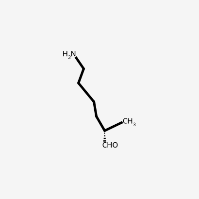 C[C@H](C=O)CCCCN